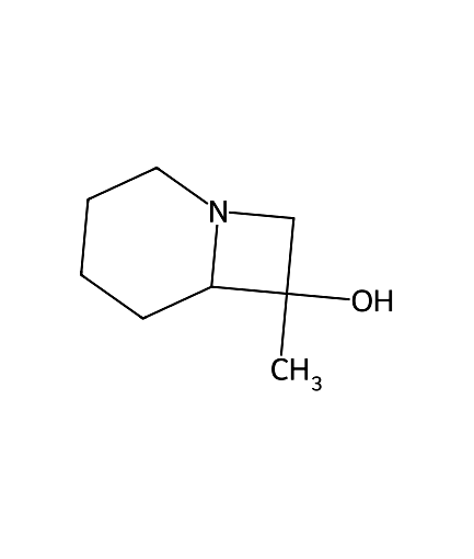 CC1(O)CN2CCCCC21